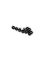 CC1(C)c2cc(-c3ccc(-c4ccc(-c5ccccc5)cc4)cc3)ccc2-c2ccc(N(c3cccc4ccccc34)c3cccc4ccccc34)cc21